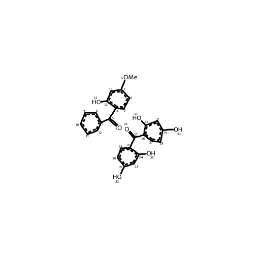 COc1ccc(C(=O)c2ccccc2)c(O)c1.O=C(c1ccc(O)cc1O)c1ccc(O)cc1O